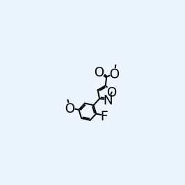 COC(=O)c1cc(-c2cc(OC)ccc2F)no1